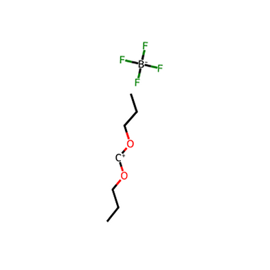 CCCO[CH+]OCCC.F[B-](F)(F)F